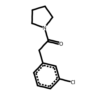 O=C(Cc1cccc(Cl)c1)N1CCCC1